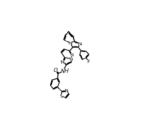 O=C(Nc1cn2nc(-c3c(-c4ccc(F)cc4)nc4ccccn34)ccc2n1)c1cccc(-c2nccs2)c1